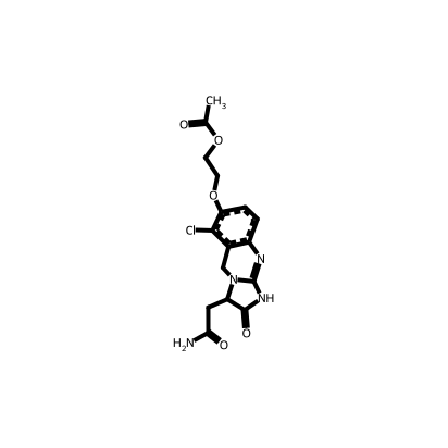 CC(=O)OCCOc1ccc2c(c1Cl)CN1C(=N2)NC(=O)C1CC(N)=O